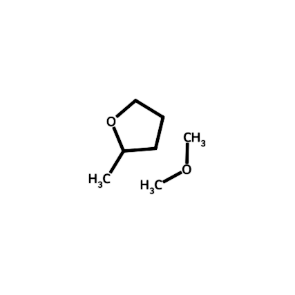 CC1CCCO1.COC